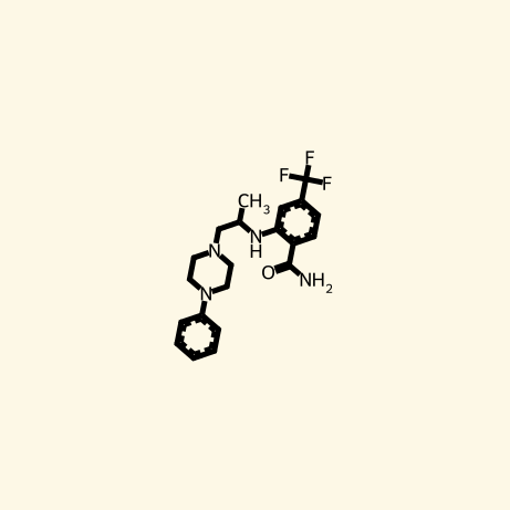 CC(CN1CCN(c2ccccc2)CC1)Nc1cc(C(F)(F)F)ccc1C(N)=O